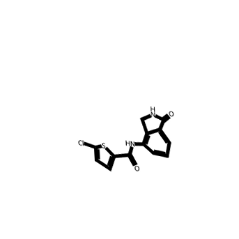 O=C(Nc1cccc2c1CNC2=O)c1ccc(Cl)s1